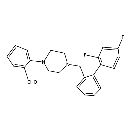 O=[C]c1ccccc1N1CCN(Cc2ccccc2-c2ccc(F)cc2F)CC1